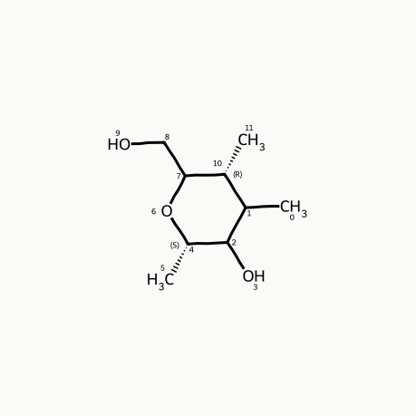 CC1C(O)[C@H](C)OC(CO)[C@@H]1C